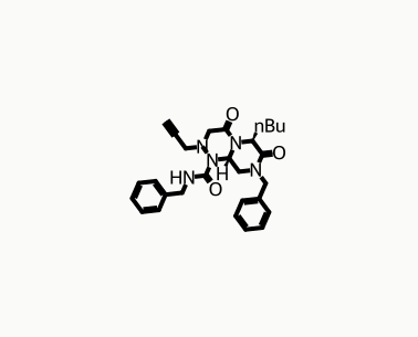 C#CCN1CC(=O)N2[C@@H](CCCC)C(=O)N(Cc3ccccc3)C[C@@H]2N1C(=O)NCc1ccccc1